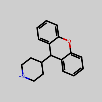 c1ccc2c(c1)Oc1ccccc1C2C1CCNCC1